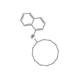 c1ccc2c([P]C3CCCCCCCCCCC3)cccc2c1